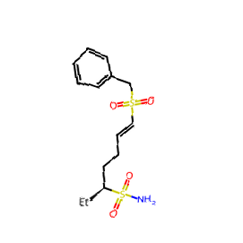 CC[C@@H](CCC=CS(=O)(=O)Cc1ccccc1)S(N)(=O)=O